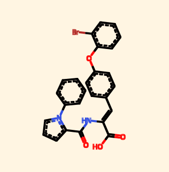 O=C(O)C(=Cc1ccc(Oc2ccccc2Br)cc1)NC(=O)c1cccn1-c1ccccc1